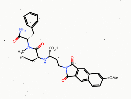 COc1ccc2cc3c(cc2c1)C(=O)N(CC[C@@H](N[C@@H](CC(C)C)C(=O)N(C)[C@@H](Cc1ccccc1)C(N)=O)C(=O)O)C3=O